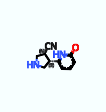 N#C[C@@H]1CNC[C@H]1c1cccc(=O)[nH]1